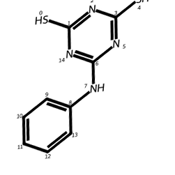 Sc1nc(S)nc(Nc2ccccc2)n1